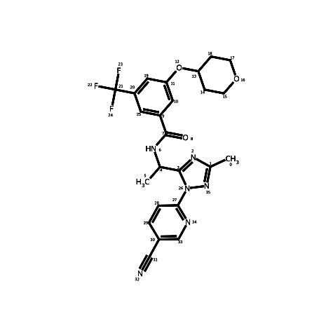 Cc1nc(C(C)NC(=O)c2cc(OC3CCOCC3)cc(C(F)(F)F)c2)n(-c2ccc(C#N)cn2)n1